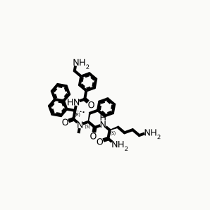 CN(C(=O)[C@](C)(NC(=O)c1cccc(CN)c1)c1cccc2ccccc12)[C@@H](Cc1ccccc1)C(=O)N[C@@H](CCCCN)C(N)=O